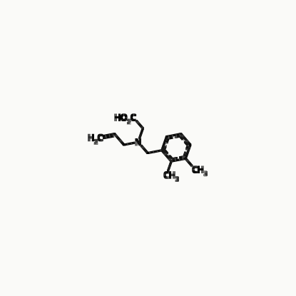 C=CCN(CC(=O)O)Cc1cccc(C)c1C